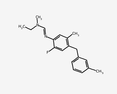 CCN(C)C=Nc1cc(C)c(Cc2cccc(C)c2)cc1F